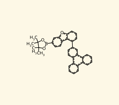 CC1(C)OB(c2ccc3c(c2)oc2cccc(-c4ccc5c6ccccc6c6ccccc6c5c4)c23)OC1(C)C